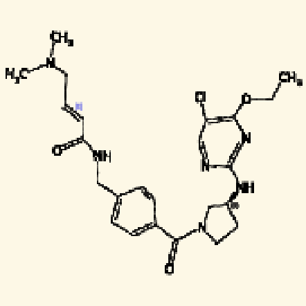 CCOc1nc(N[C@H]2CCN(C(=O)c3ccc(CNC(=O)/C=C/CN(C)C)cc3)C2)ncc1Cl